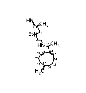 C=C(C=N)CN(CC)CCN[C@@H](C)C1=C/CCCC(=C)CC\C=C\1